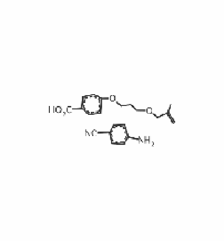 C=C(C)COCCCOc1ccc(C(=O)O)cc1.N#Cc1ccc(N)cc1